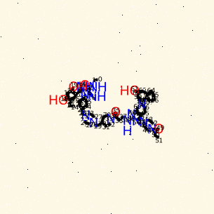 CCNC(=O)C(=N)N(C(=N)c1cc(CC)c(O)cc1O)c1ccc(CN2CCN(CC3CCN(C(=O)CCNc4nc5c(c(N6CCN(C(=O)CC)CC6)n4)CCN(c4cc(O)cc6ccccc46)C5)CC3)CC2)cc1